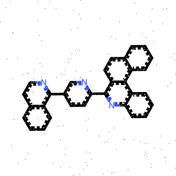 c1ccc2c(-c3ccc(-c4nc5ccccc5c5c4ccc4ccccc45)nc3)nccc2c1